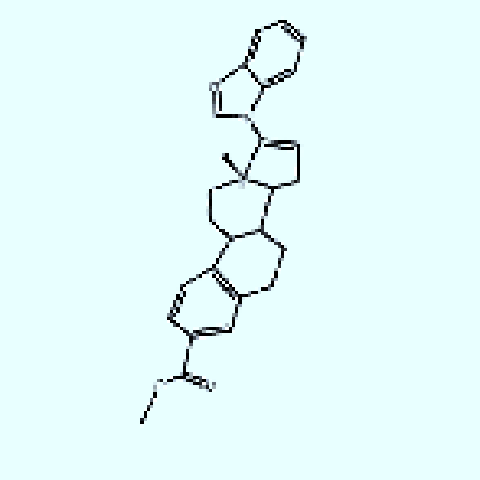 COC(=O)c1ccc2c(c1)CCC1C2CC[C@]2(C)C(n3cnc4ccccc43)=CCC12